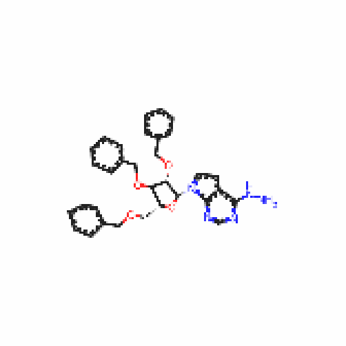 NNc1ncnc2c1ccn2[C@@H]1O[C@H](COCc2ccccc2)[C@@H](OCc2ccccc2)[C@@H]1OCc1ccccc1